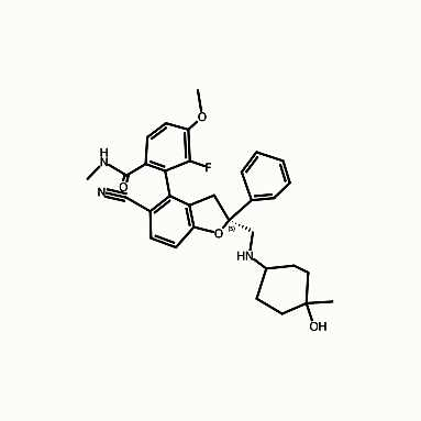 CNC(=O)c1ccc(OC)c(F)c1-c1c(C#N)ccc2c1C[C@@](CNC1CCC(C)(O)CC1)(c1ccccc1)O2